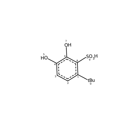 CC(C)(C)c1ccc(O)c(O)c1S(=O)(=O)O